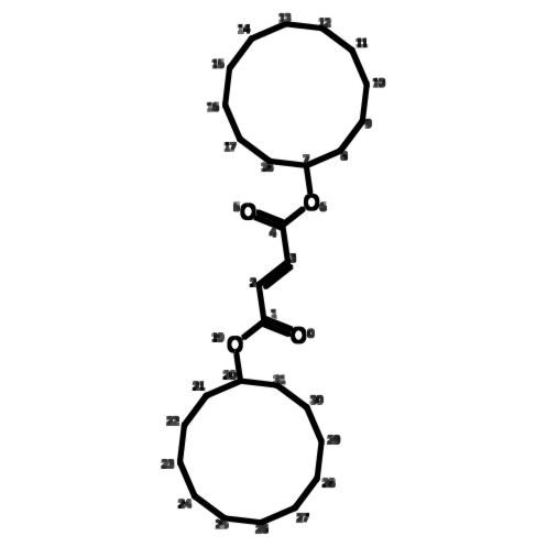 O=C(C=CC(=O)OC1CCCCCCCCCCC1)OC1CCCCCCCCCCC1